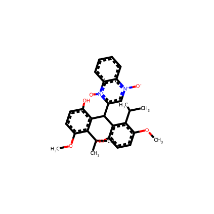 COc1ccc(O)c(C(c2c(O)ccc(OC)c2C(C)C)c2c[n+]([O-])c3ccccc3[n+]2[O-])c1C(C)C